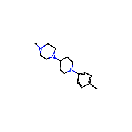 Cc1ccc(N2CCC(N3CCN(C)CC3)CC2)cc1